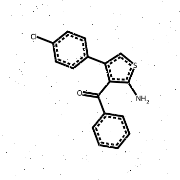 Nc1scc(-c2ccc(Cl)cc2)c1C(=O)c1ccccc1